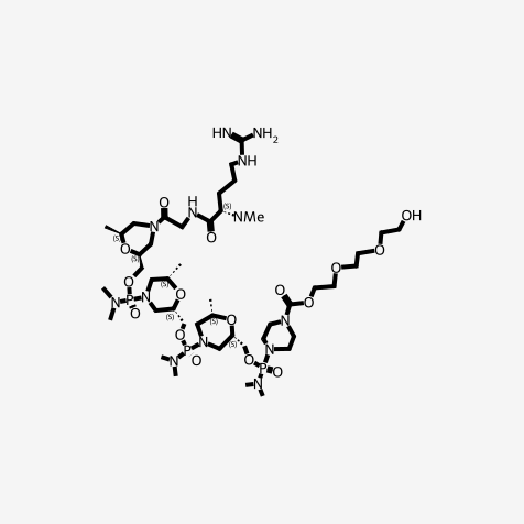 CN[C@@H](CCCNC(=N)N)C(=O)NCC(=O)N1C[C@@H](COP(=O)(N(C)C)N2C[C@@H](COP(=O)(N(C)C)N3C[C@@H](COP(=O)(N(C)C)N4CCN(C(=O)OCCOCCOCCO)CC4)O[C@@H](C)C3)O[C@@H](C)C2)O[C@@H](C)C1